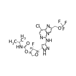 CC(C)NC(=O)O[C@H]1CO[C@@H](c2cc(Nc3ncc(Cl)c4nc(COC(F)(F)F)cn34)n[nH]2)[C@H]1F